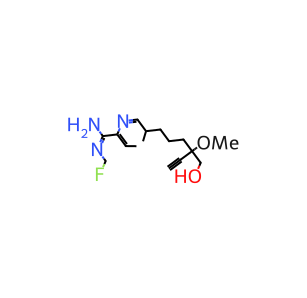 C#CC(CO)(CCCC(C)\C=N/C(=C\C)C(/N)=N\CF)OC